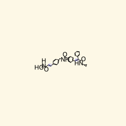 O=C(/C=C/c1ccc(CNC(=O)c2ccc(/C=C(/C(=O)NC3CC3)c3ccccc3)cc2)cc1)NO